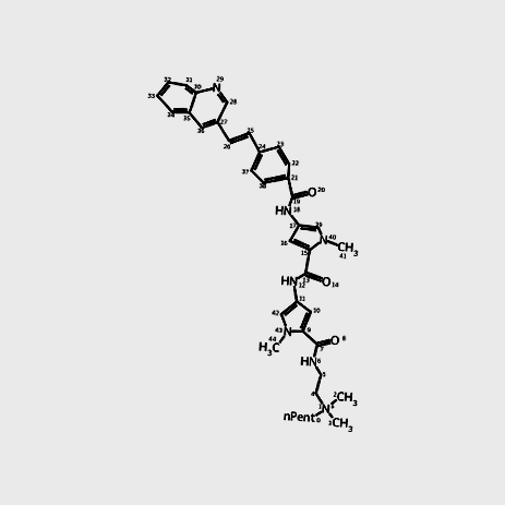 CCCCC[N+](C)(C)CCNC(=O)c1cc(NC(=O)c2cc(NC(=O)c3ccc(/C=C/c4cnc5ccccc5c4)cc3)cn2C)cn1C